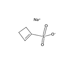 O=S(=O)([O-])C1=CCC1.[Na+]